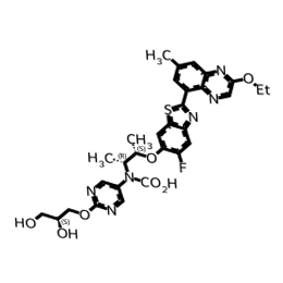 CCOc1cnc2c(-c3nc4cc(F)c(O[C@@H](C)[C@@H](C)N(C(=O)O)c5cnc(OC[C@@H](O)CO)nc5)cc4s3)cc(C)cc2n1